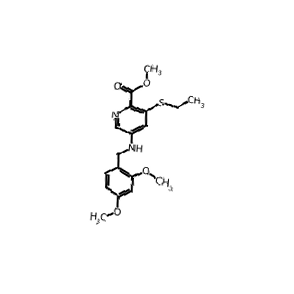 CCSc1cc(NCc2ccc(OC)cc2OC)cnc1C(=O)OC